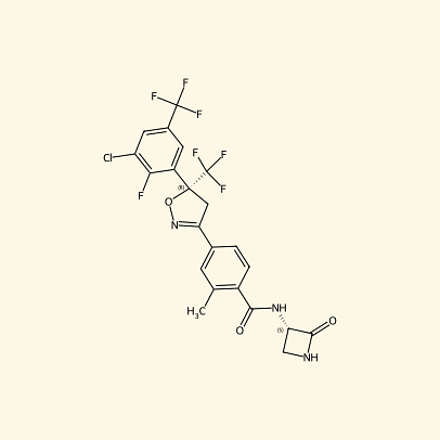 Cc1cc(C2=NO[C@](c3cc(C(F)(F)F)cc(Cl)c3F)(C(F)(F)F)C2)ccc1C(=O)N[C@H]1CNC1=O